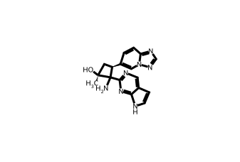 C[C@]1(O)C[C@@H](c2ccc3ncnn3c2)C1(N)c1ncc2cc[nH]c2n1